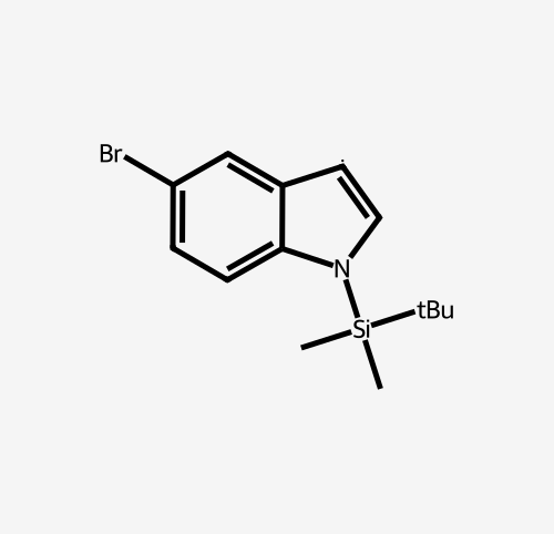 CC(C)(C)[Si](C)(C)n1c[c]c2cc(Br)ccc21